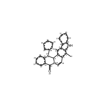 Cc1c2c(c(C)c3c1[nH]c1ccccc13)C1N(C=C2)C(=O)c2ccccc2N1c1ccccc1